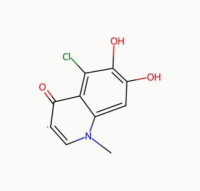 Cn1c[c]c(=O)c2c(Cl)c(O)c(O)cc21